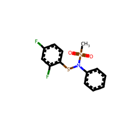 CS(=O)(=O)N(Sc1ccc(F)cc1F)c1ccccc1